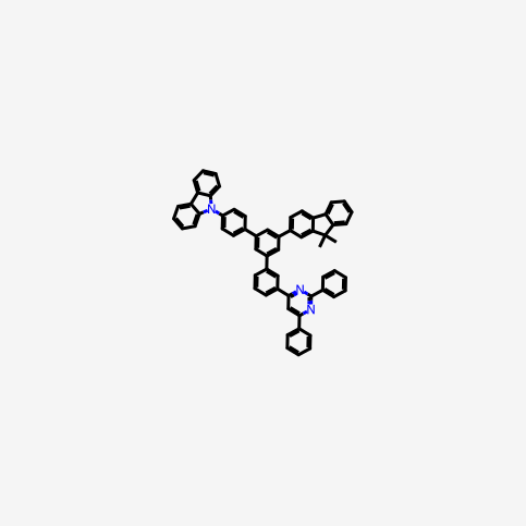 CC1(C)c2ccccc2-c2ccc(-c3cc(-c4ccc(-n5c6ccccc6c6ccccc65)cc4)cc(-c4cccc(-c5cc(-c6ccccc6)nc(-c6ccccc6)n5)c4)c3)cc21